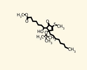 CCCCCCCCC1(O[Si](C)(C)C)C=C(SC)C(=O)C1C(O)CCCCCC(=O)OC